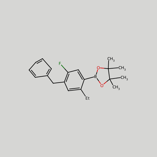 CCc1cc(Cc2ccccc2)c(F)cc1B1OC(C)(C)C(C)(C)O1